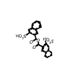 O=C(OC(=O)c1cc2ccccc2cc1S(=O)(=O)O)c1cc2ccccc2cc1S(=O)(=O)O